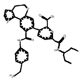 CCC(CC)NC(=O)c1ccc(-c2cc3c(cc2C(=O)Nc2ccc(CN)cc2)-c2sccc2CCO3)c(C(=O)O)n1